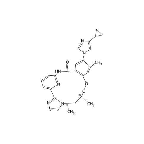 Cc1cc2c(cc1-n1cnc(C3CC3)c1)C(=O)Nc1cccc(n1)-c1nncn1[C@@H](C)C[C@@H](C)CO2